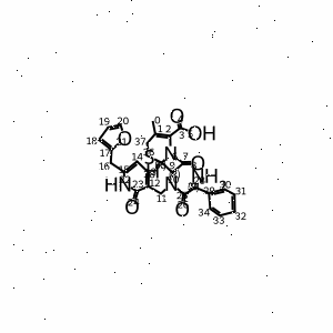 CC1=C(C(=O)O)N2C(=O)[C@@H](N(Cc3ccc(Cc4ccco4)[nH]c3=O)C(=O)[C@H](N)c3ccccc3)[C@H]2SC1